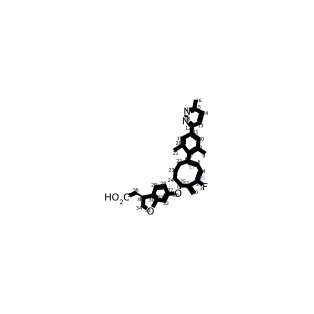 C=C1/C(F)=C\C=C(\c2c(C)cc(-c3ccc(C)nn3)cc2C)CCC[C@H]1Oc1ccc2c(c1)OC[C@H]2CC(=O)O